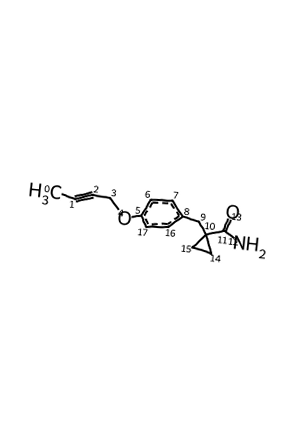 CC#CCOc1ccc(CC2(C(N)=O)CC2)cc1